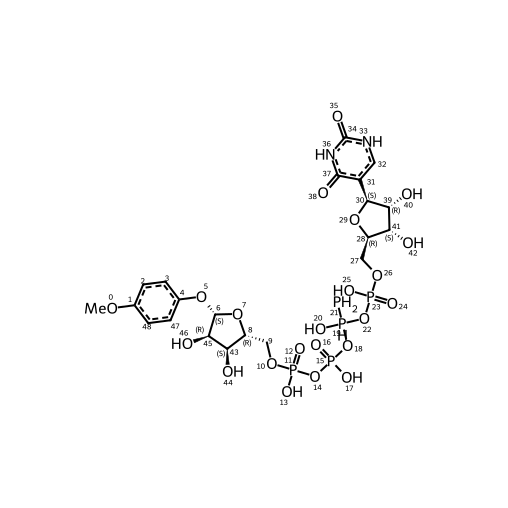 COc1ccc(O[C@@H]2O[C@H](COP(=O)(O)OP(=O)(O)O[PH](O)(P)OP(=O)(O)OC[C@H]3O[C@@H](c4c[nH]c(=O)[nH]c4=O)[C@H](O)[C@@H]3O)[C@@H](O)[C@H]2O)cc1